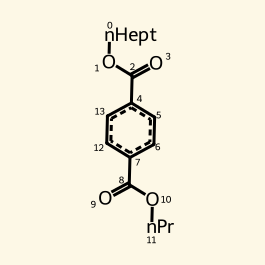 CCCCCCCOC(=O)c1ccc(C(=O)OCCC)cc1